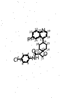 O=C(Nc1ccc(Cl)cc1)C1COC12CCC(c1ccnc3ccc(F)cc13)CC2